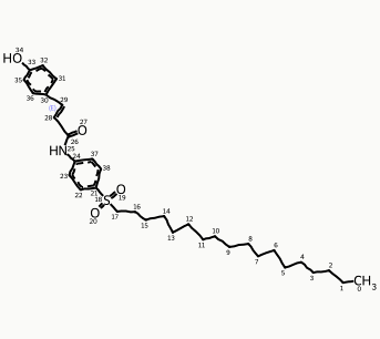 CCCCCCCCCCCCCCCCCCS(=O)(=O)c1ccc(NC(=O)/C=C/c2ccc(O)cc2)cc1